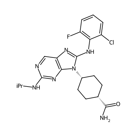 CC(C)Nc1ncc2nc(Nc3c(F)cccc3Cl)n([C@H]3CC[C@@H](C(N)=O)CC3)c2n1